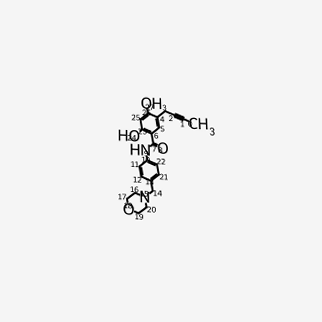 CC#CCc1cc(C(=O)Nc2ccc(CN3CCOCC3)cc2)c(O)cc1O